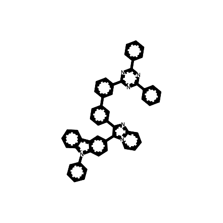 c1ccc(-c2nc(-c3ccccc3)nc(-c3cccc(-c4cccc(-c5nc6ccccn6c5-c5ccc6c(c5)c5ccccc5n6-c5ccccc5)c4)c3)n2)cc1